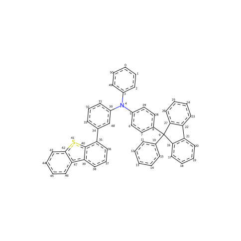 c1ccc(N(c2ccc(C3(c4ccccc4)c4ccccc4-c4ccccc43)cc2)c2cccc(-c3cccc4c3sc3ccccc34)c2)cc1